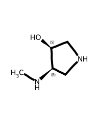 CN[C@@H]1CNC[C@@H]1O